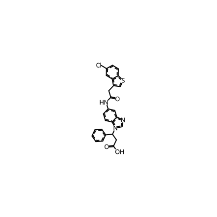 O=C(O)CC(c1ccccc1)n1cnc2cc(NC(=O)Cc3csc4ccc(Cl)cc34)ccc21